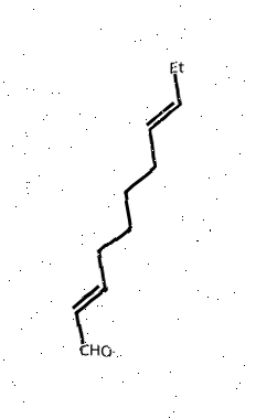 CC/C=C/CCCC/C=C/[C]=O